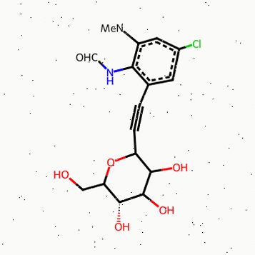 CNc1cc(Cl)cc(C#CC2OC(CO)[C@@H](O)C(O)C2O)c1NC=O